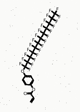 C=CC(=O)Oc1ccc(OC(F)(F)C(F)(F)C(F)(F)C(F)(F)C(F)(F)C(F)(F)C(F)(F)C(F)(F)C(F)(F)C(F)(F)C(F)(F)C(F)(F)F)cc1